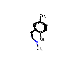 C=N/C=C\c1cc(C)c#cc1C